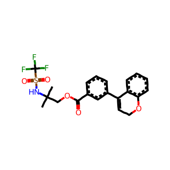 CC(C)(COC(=O)c1cccc(C2=CCOc3ccccc32)c1)NS(=O)(=O)C(F)(F)F